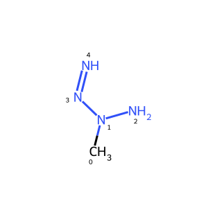 CN(N)N=N